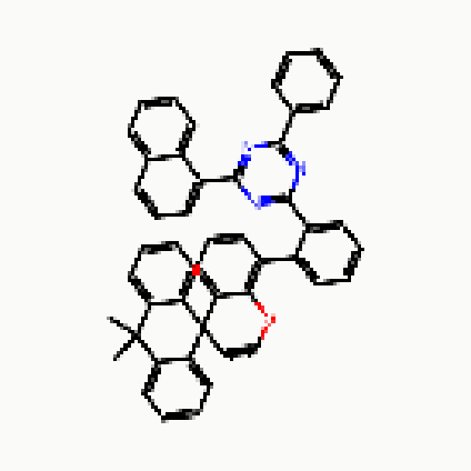 CC1(C)c2ccccc2C2(c3ccccc3Oc3c(-c4ccccc4-c4nc(-c5ccccc5)nc(-c5cccc6ccccc56)n4)cccc32)c2ccccc21